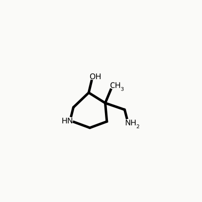 CC1(CN)CCNCC1O